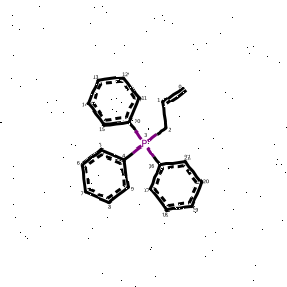 C=CC[P](c1ccccc1)(c1ccccc1)c1ccccc1